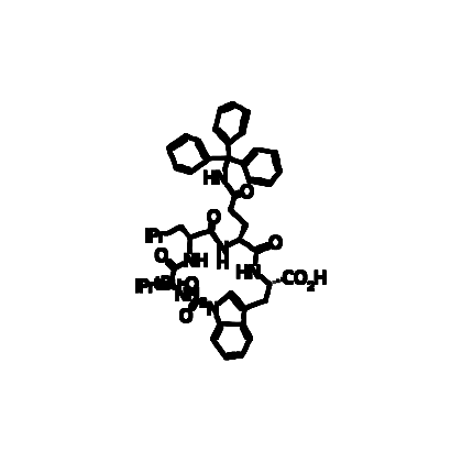 CC(C)C[C@H](NC(=O)[C@@H](N)C(C)C)C(=O)N[C@@H](CCC(=O)NC(c1ccccc1)(c1ccccc1)c1ccccc1)C(=O)N[C@@H](Cc1cn(C(=O)OC(C)(C)C)c2ccccc12)C(=O)O